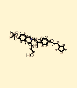 O=C(NCCO)/C(=C\c1ccc(OC(F)(F)F)cc1)NC(=O)c1ccc(OCCC2CCCC2)cc1